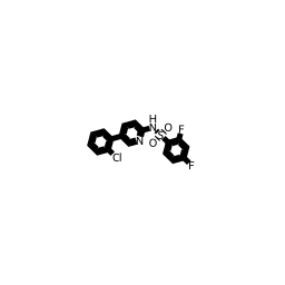 O=S(=O)(Nc1ccc(-c2ccccc2Cl)cn1)c1ccc(F)cc1F